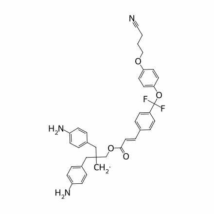 [CH2]C(COC(=O)/C=C/c1ccc(C(F)(F)Oc2ccc(OCCCC#N)cc2)cc1)(Cc1ccc(N)cc1)Cc1ccc(N)cc1